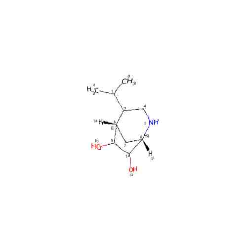 CC(C)C1CN[C@H]2C[C@@H]1C(O)C2O